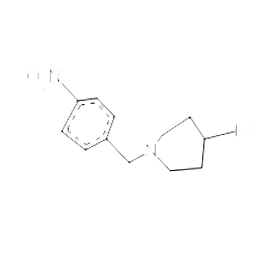 CCC1CCN(Cc2ccc([N+](=O)[O-])cc2)CC1